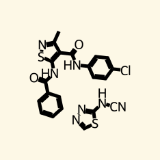 Cc1nsc(NC(=O)c2ccccc2)c1C(=O)Nc1ccc(Cl)cc1.N#CNc1nncs1